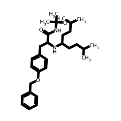 CC(C)CCC(CCC(C)C)NC(Cc1ccc(OCc2ccccc2)cc1)C(=O)NC(C)(C)C